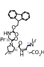 CC(C)[C@H](NC(=O)OCC1c2ccccc2-c2ccccc21)C(=O)N1C[C@H](C)C[C@H]1C(=O)N[C@H](/C=[N]/[Lr])CC(=O)O